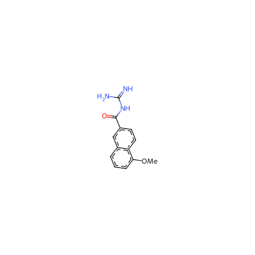 COc1cccc2cc(C(=O)NC(=N)N)ccc12